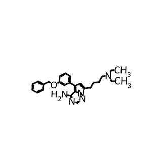 CCN(CC)CCCCc1cc(-c2cccc(OCc3ccccc3)c2)c2c(N)ncnn12